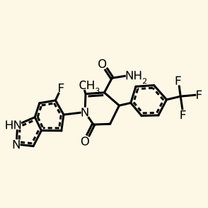 CC1=C(C(N)=O)C(c2ccc(C(F)(F)F)cc2)CC(=O)N1c1cc2cn[nH]c2cc1F